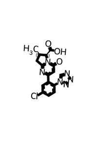 C[C@H]1Cc2nc(-c3cc(Cl)ccc3-n3cnnn3)cc(=O)n2[C@@H]1C(=O)O